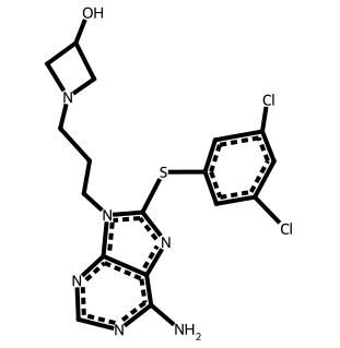 Nc1ncnc2c1nc(Sc1cc(Cl)cc(Cl)c1)n2CCCN1CC(O)C1